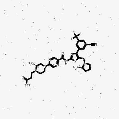 C[C@@H]1CN(c2cnc(C(=O)Nc3nc(-c4cc(C#N)cc(C(F)(F)F)c4)c(CN4CCC[C@H]4P)s3)cn2)CCN1CCC(=O)O